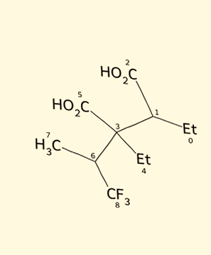 CCC(C(=O)O)C(CC)(C(=O)O)C(C)C(F)(F)F